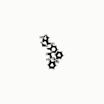 CC1C(Nc2ncnc3[nH]ncc23)CCCN1C(=O)CNc1ccccc1S(=O)(=O)c1ccccc1